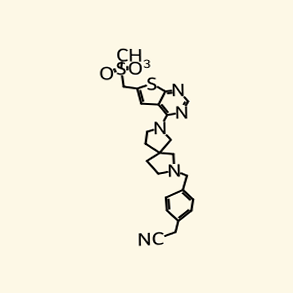 CS(=O)(=O)Cc1cc2c(N3CCC4(CCN(Cc5ccc(CC#N)cc5)C4)C3)ncnc2s1